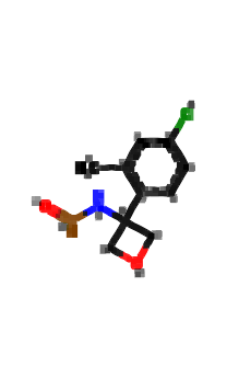 Cc1cc(Cl)ccc1C1(N[SH]=O)COC1